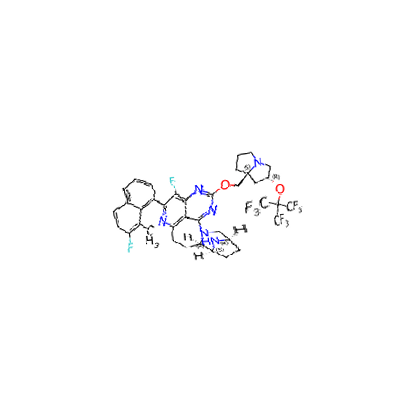 Cc1c(F)ccc2cccc(-c3nc4c5c(nc(OC[C@@]67CCCN6C[C@H](OC(C(F)(F)F)(C(F)(F)F)C(F)(F)F)C7)nc5c3F)N3C[C@H]5CC[C@H](N5)[C@H]3CC4)c12